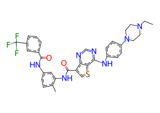 CCN1CCN(c2ccc(Nc3ncnc4c(C(=O)Nc5cc(NC(=O)c6cccc(C(F)(F)F)c6)ccc5C)csc34)cc2)CC1